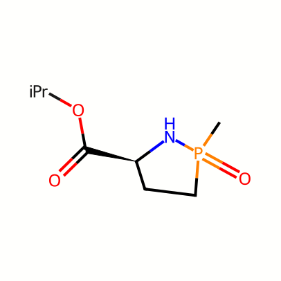 CC(C)OC(=O)[C@@H]1CCP(C)(=O)N1